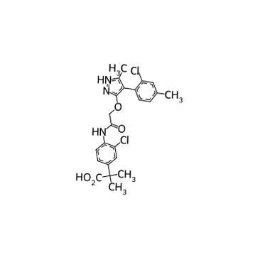 Cc1ccc(-c2c(OCC(=O)Nc3ccc(C(C)(C)C(=O)O)cc3Cl)n[nH]c2C)c(Cl)c1